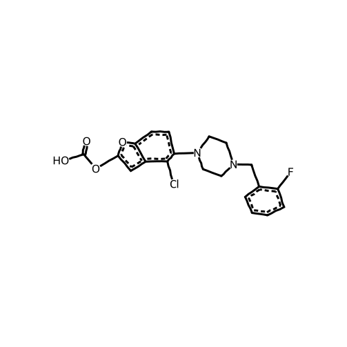 O=C(O)Oc1cc2c(Cl)c(N3CCN(Cc4ccccc4F)CC3)ccc2o1